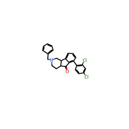 O=C1c2c(-c3ccc(Cl)cc3Cl)cccc2C2CN(Cc3ccccc3)CCC12